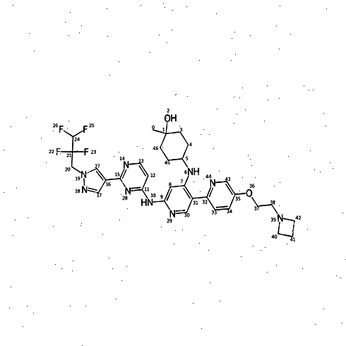 CC1(O)CCC(Nc2cc(Nc3ccnc(-c4cnn(CC(F)(F)C(F)F)c4)n3)ncc2-c2ccc(OCCN3CCC3)cn2)CC1